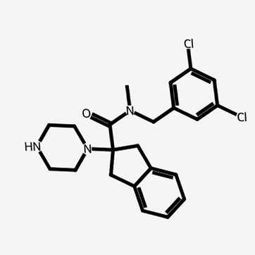 CN(Cc1cc(Cl)cc(Cl)c1)C(=O)C1(N2CCNCC2)Cc2ccccc2C1